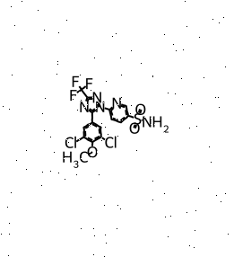 COc1c(Cl)cc(-c2nc(C(F)(F)F)nn2-c2ccc(S(N)(=O)=O)cn2)cc1Cl